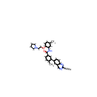 CNc1ncc2cc(-c3cc(C(=O)Nc4cc(C(F)(F)F)ccc4OCCN4CCCC4)ccc3C)ccc2n1